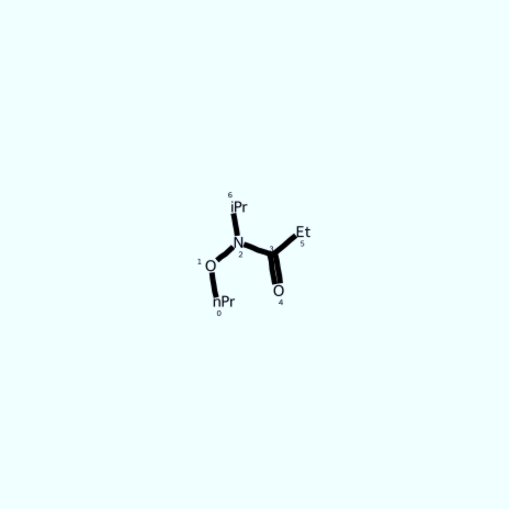 CCCON(C(=O)CC)C(C)C